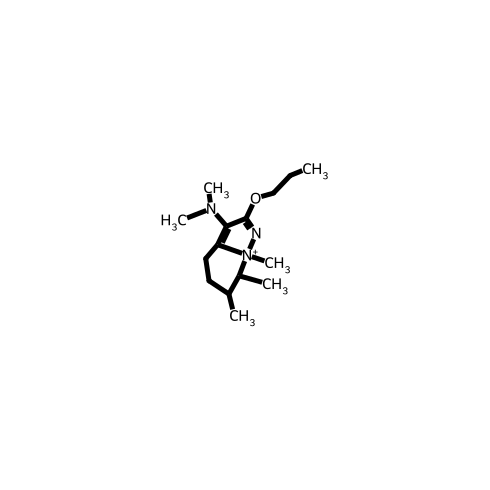 CCCOC1=N[N+]2(C)C(=C1N(C)C)CCC(C)C2C